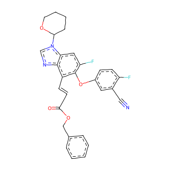 N#Cc1cc(Oc2c(F)cc3c(ncn3C3CCCCO3)c2/C=C/C(=O)OCc2ccccc2)ccc1F